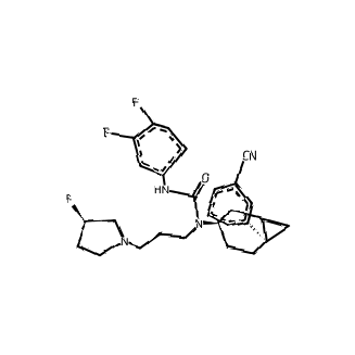 N#Cc1cccc([C@]23CC[C@@H](N(CCCN4CC[C@@H](F)C4)C(=O)Nc4ccc(F)c(F)c4)CC2C3)c1